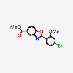 COC(=O)c1ccc2oc(-c3ccc(Br)cc3OC)nc2c1